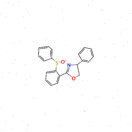 [O-][S@@+](c1ccccc1)c1ccccc1C1=NC(c2ccccc2)CO1